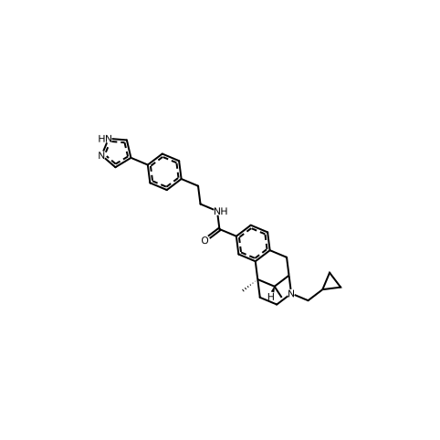 C[C@H]1C2Cc3ccc(C(=O)NCCc4ccc(-c5cn[nH]c5)cc4)cc3[C@]1(C)CCN2CC1CC1